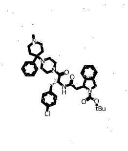 CN1CCC(c2ccccc2)(N2CCN(C(=O)[C@@H](Cc3ccc(Cl)cc3)NC(=O)CC3c4ccccc4CN3C(=O)OC(C)(C)C)CC2)CC1